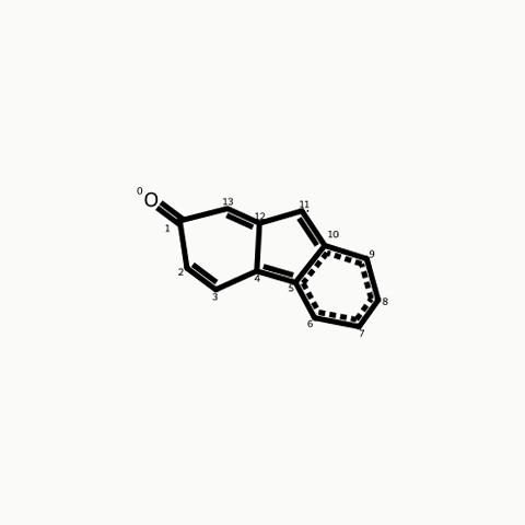 O=C1C=CC2=c3ccccc3=[C]C2=C1